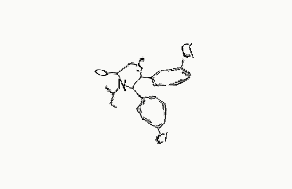 CC(C)N1C(=O)CS[C@@H](c2cccc(Cl)c2)[C@H]1c1ccc(Cl)cc1